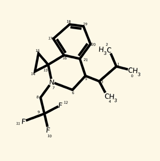 CC(C)C(C)C1CN(CC(F)(F)F)C2(CC2)c2ccccc21